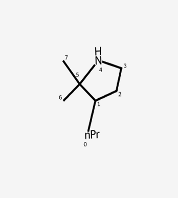 CCCC1CCNC1(C)C